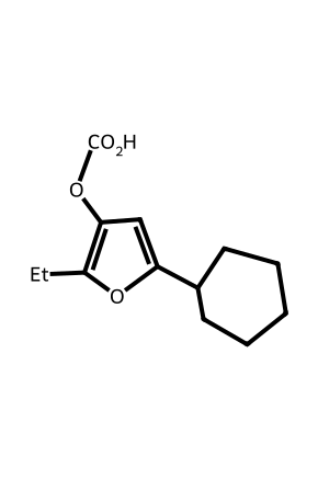 CCc1oc(C2CCCCC2)cc1OC(=O)O